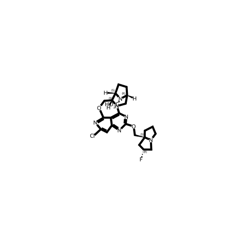 O=C(O)N1[C@@H]2CC[C@H]1[C@H]1COc3nc(Cl)cc4nc(OC[C@@]56CCCN5C[C@H](F)C6)nc(c34)N1C2